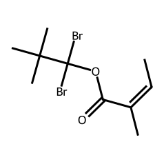 CC=C(C)C(=O)OC(Br)(Br)C(C)(C)C